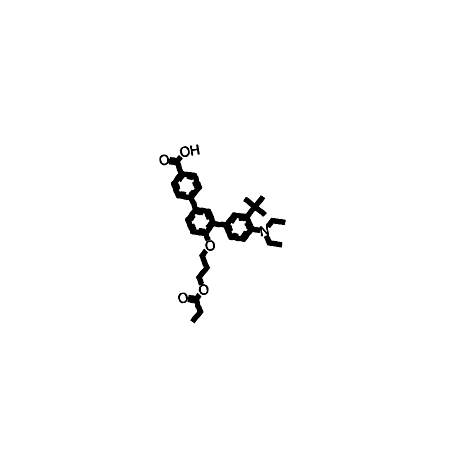 CCC(=O)OCCCOc1ccc(-c2ccc(C(=O)O)cc2)cc1-c1ccc(N(CC)CC)c(C(C)(C)C)c1